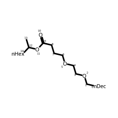 CCCCCCCCCCCOCCOCCCC(=O)OC(C)CCCCCC